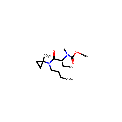 COCCCN(C(=O)[C@H](CC(C)C)N(C)C(=O)OC(C)(C)C)C1(C(=O)O)CC1